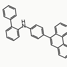 c1ccc(-c2ccccc2Nc2ccc(-c3cc4ccccc4c4ccccc34)cc2)cc1